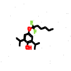 CCCCCC(F)(F)Oc1cc(C(C)C)c(O)c(C(C)C)c1